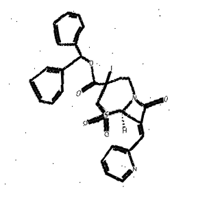 O=C1C(=Cc2ccccn2)[C@@H]2N1CC(I)(C(=O)OC(c1ccccc1)c1ccccc1)CS2(=O)=O